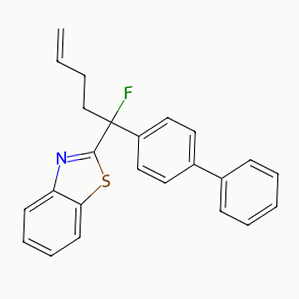 C=CCCC(F)(c1ccc(-c2ccccc2)cc1)c1nc2ccccc2s1